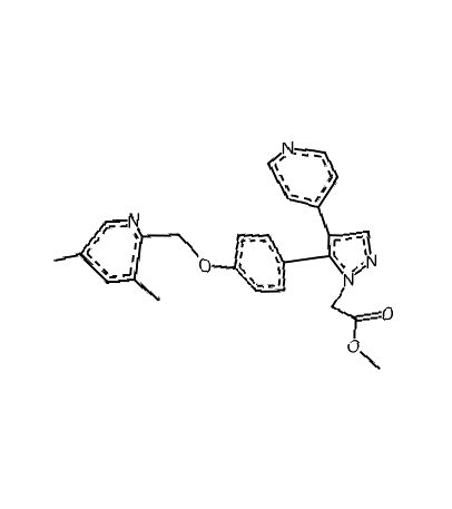 COC(=O)Cn1ncc(-c2ccncc2)c1-c1ccc(OCc2ncc(C)cc2C)cc1